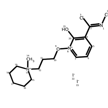 CN=C(Cl)c1ccc[n+](OCCC[N+]2(C)CCCCC2)c1O.[I-].[I-]